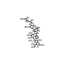 CCC(C)C(C(CC(=O)N1CCCC1C(OC)C(C)C(=O)NC(C)C(OC1OC(COC2(C(=O)O)CC(O)C(CNC(C)=O)C(C(O)C(O)CO)O2)C(O)C(O)C1O)c1ccccc1)OC)N(C)C(=O)C(NCC(=O)C(NC)C(C)C)C(C)C